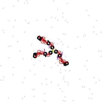 Cc1cc(Oc2ccc([S+](c3ccc(Oc4cc(I)c(OCC(=O)OC5(C)C6CC7CC(C6)CC5C7)cc4C)cc3)c3ccc(Oc4cc(I)c(OCC(=O)OC5(C)C6CC7CC(C6)CC5C7)cc4I)cc3)cc2)c(I)cc1OCC(=O)OC1(C)C2CC3CC(C2)CC1C3